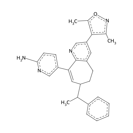 Cc1noc(C)c1-c1cnc2c(c1)CCC(C(C)c1ccccc1)C=C2c1ccc(N)nc1